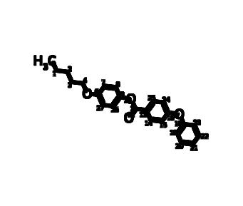 CCCCCOc1ccc(OC(=O)c2ccc(Oc3ccccc3)cc2)cc1